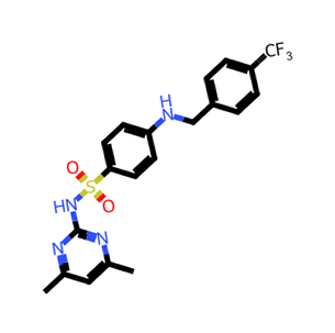 Cc1cc(C)nc(NS(=O)(=O)c2ccc(NCc3ccc(C(F)(F)F)cc3)cc2)n1